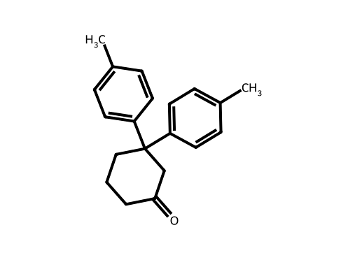 Cc1ccc(C2(c3ccc(C)cc3)CCCC(=O)C2)cc1